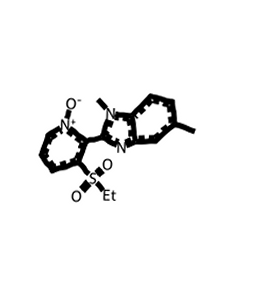 CCS(=O)(=O)c1ccc[n+]([O-])c1-c1nc2cc(C)ccc2n1C